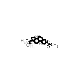 CC(=O)O[C@H]1CC[C@@]2(C)C(CC=C3[C@@H]4CC[C@H]([C@H](C)C=O)[C@@]4(C)CC[C@@H]32)C1